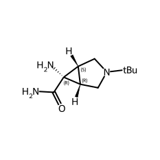 CC(C)(C)N1C[C@@H]2[C@H](C1)[C@@]2(N)C(N)=O